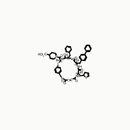 O=C1CCC(=O)N[C@H](CC2CC=CS2)C(=O)N[C@@H](Cc2ccc(-c3ccccc3)cc2)C(=O)N[C@H](Cc2ccccc2)C(=O)N[C@H](C(=O)N2CCC(C(=O)O)CC2)Cc2ccc(cc2)N1